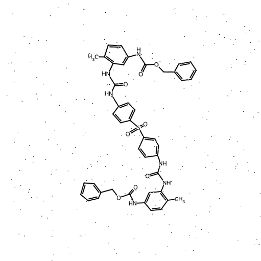 Cc1ccc(NC(=O)OCc2ccccc2)cc1NC(=O)Nc1ccc(S(=O)(=O)c2ccc(NC(=O)Nc3cc(NC(=O)OCc4ccccc4)ccc3C)cc2)cc1